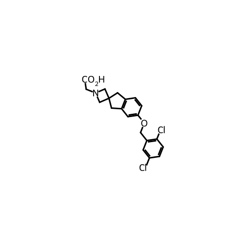 O=C(O)CN1CC2(Cc3ccc(OCc4cc(Cl)ccc4Cl)cc3C2)C1